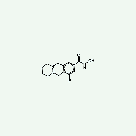 O=C(NO)c1cc(F)c2c(c1)CN1CCCCN1C2